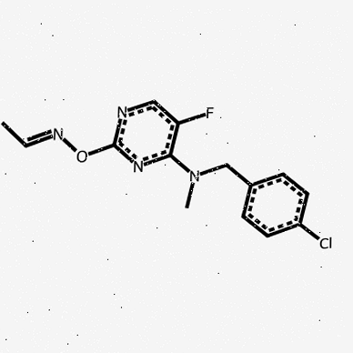 C/C=N/Oc1ncc(F)c(N(C)Cc2ccc(Cl)cc2)n1